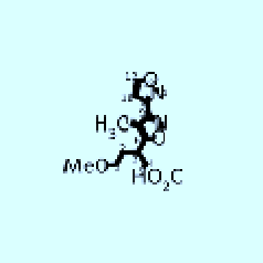 COCCC(CC(=O)O)c1onc(-c2ccon2)c1C